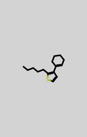 CCCCCc1sccc1C1=CCCCC1